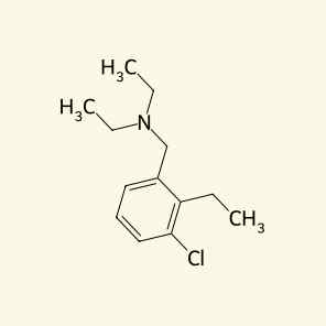 CCc1c(Cl)cccc1CN(CC)CC